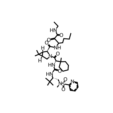 CCCCC(NC(=O)[C@@H]1[C@@H]2[C@H](CN1C(=O)[C@@H](NC(=O)N[C@H](CN(C)S(=O)(=O)c1ccccn1)C(C)(C)C)C1(C)CCCCC1)C2(C)C)C(=O)C(=O)NCC